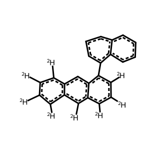 [2H]c1c([2H])c([2H])c2c([2H])c3c([2H])c([2H])c([2H])c(-c4cccc5ccccc45)c3cc2c1[2H]